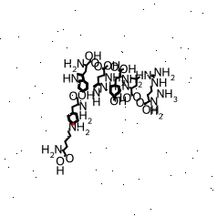 CC(C)CC(N)C(=O)O.N.N=C(N)NCCCC(N)C(=O)O.NC(Cc1c[nH]c2ccccc12)C(=O)O.NC(Cc1c[nH]cn1)C(=O)O.NC(Cc1ccc(O)cc1)C(=O)O.NC(Cc1ccccc1)C(=O)O.NCCCCC(N)C(=O)O